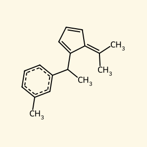 CC(C)=C1C=CC=C1C(C)c1cccc(C)c1